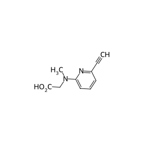 C#Cc1cccc(N(C)CC(=O)O)n1